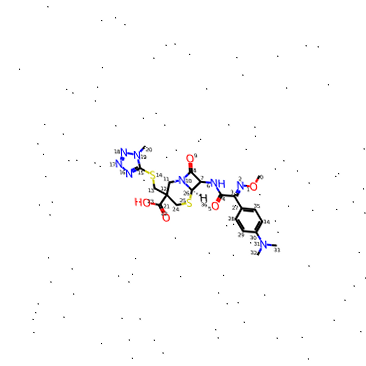 CON=C(C(=O)NC1C(=O)N2CC(CSc3nnnn3C)(C(=O)O)CS[C@H]12)c1ccc(N(C)C)cc1